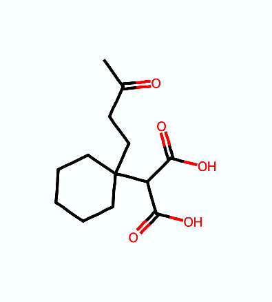 CC(=O)CCC1(C(C(=O)O)C(=O)O)CCCCC1